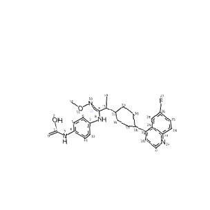 C=C(O)Nc1ccc(N/C(=N\OC)C(C)C2CCC(c3ccnc4ccc(F)cc34)CC2)cc1